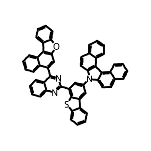 c1ccc2c(c1)ccc1c2c2c3ccccc3ccc2n1-c1cc(-c2nc(-c3cc4oc5ccccc5c4c4ccccc34)c3ccccc3n2)c2sc3ccccc3c2c1